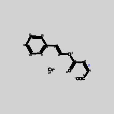 O=C([O-])/C=C\C(=O)OC=Cc1ccccc1.[Cu+]